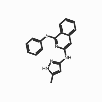 Cc1cc(Nc2cc3ccccc3c(Sc3ccccc3)n2)n[nH]1